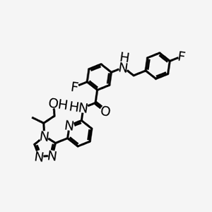 CC(CO)n1cnnc1-c1cccc(NC(=O)c2cc(NCc3ccc(F)cc3)ccc2F)n1